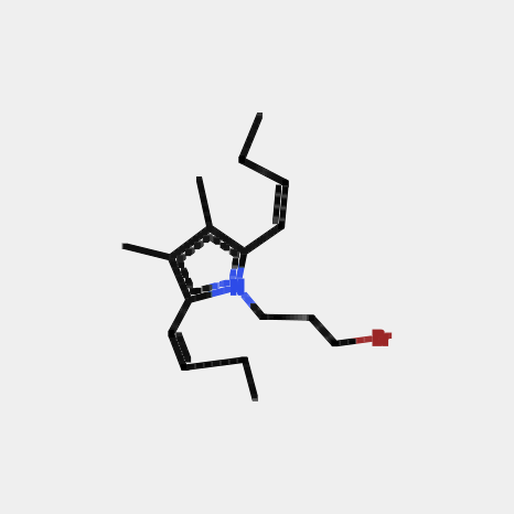 CC/C=C\c1c(C)c(C)c(/C=C\CC)n1CCCBr